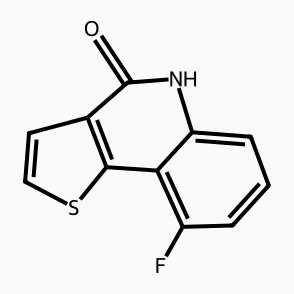 O=c1[nH]c2cccc(F)c2c2sccc12